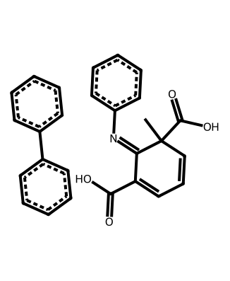 CC1(C(=O)O)C=CC=C(C(=O)O)C1=Nc1ccccc1.c1ccc(-c2ccccc2)cc1